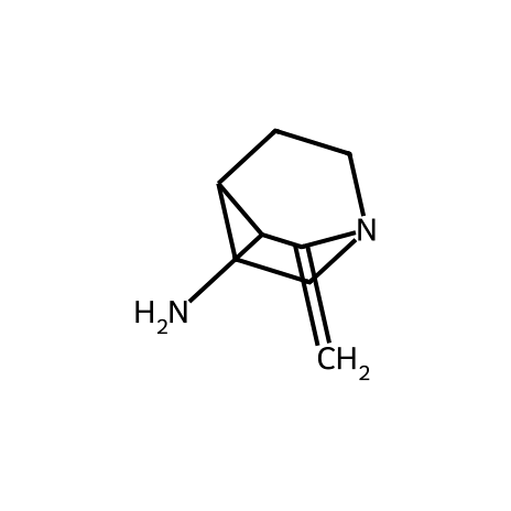 C=C1C(N)C2CCN1CC2